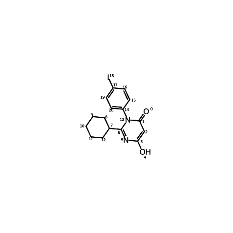 O=c1cc(O)nc(C2CCCCC2)n1-c1ccc(I)cc1